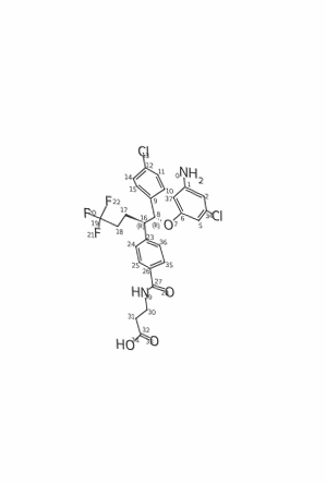 Nc1cc(Cl)cc(O[C@@H](c2ccc(Cl)cc2)[C@H](CCC(F)(F)F)c2ccc(C(=O)NCCC(=O)O)cc2)c1